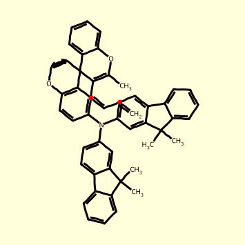 C=C/C=C\C1=C(C)Oc2ccccc2C12c1ccccc1Oc1ccc(N(c3ccc4c(c3)C(C)(C)c3ccccc3-4)c3ccc4c(c3)C(C)(C)c3ccccc3-4)cc12